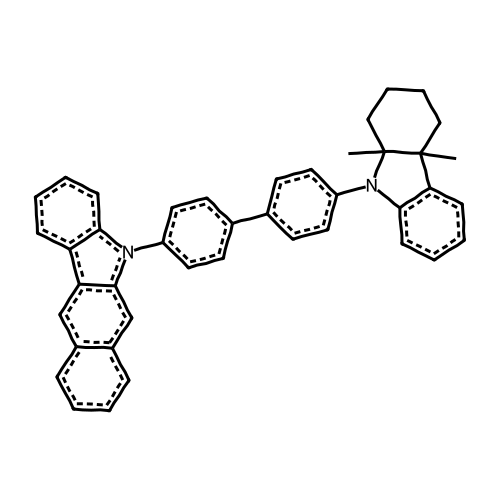 CC12CCCCC1(C)N(c1ccc(-c3ccc(-n4c5ccccc5c5cc6ccccc6cc54)cc3)cc1)c1ccccc12